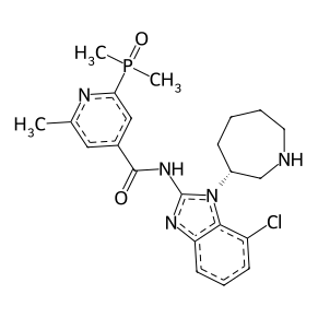 Cc1cc(C(=O)Nc2nc3cccc(Cl)c3n2[C@@H]2CCCCNC2)cc(P(C)(C)=O)n1